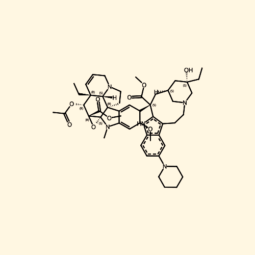 CC[C@]1(O)C[C@H]2CN(CCc3c([nH]c4ccc(N5CCCCC5)cc34)[C@@](C(=O)OC)(C3C=C4C(=CC3OC)N(C)[C@@]35O[C@]3(C(=O)OC)[C@H](OC(C)=O)[C@]3(CC)C=CCN6CC[C@]45[C@@H]63)C2)C1